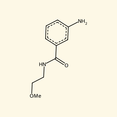 COCCNC(=O)c1cccc(N)c1